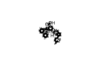 Cc1ccc(-c2ccc3cnc(N[C@@H]4CCN(C(=O)O)C[C@H]4O[Si](c4ccccc4)(c4ccccc4)C(C)(C)C)nn23)nc1